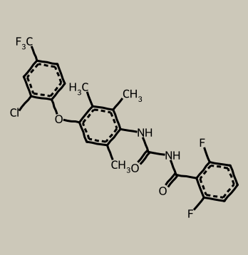 Cc1cc(Oc2ccc(C(F)(F)F)cc2Cl)c(C)c(C)c1NC(=O)NC(=O)c1c(F)cccc1F